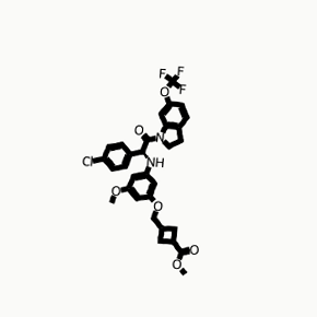 COC(=O)C1CC(COc2cc(N[C@H](C(=O)N3CCc4ccc(OC(F)(F)F)cc43)c3ccc(Cl)cc3)cc(OC)c2)C1